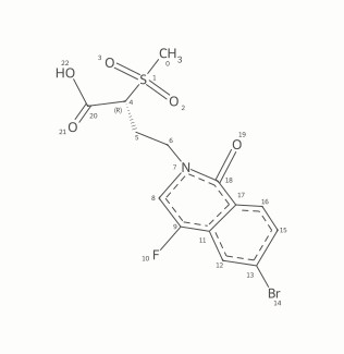 CS(=O)(=O)[C@H](CCn1cc(F)c2cc(Br)ccc2c1=O)C(=O)O